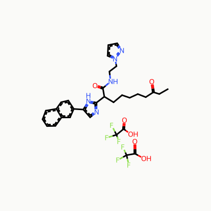 CCC(=O)CCCCCC(C(=O)NCCn1cccn1)c1ncc(-c2ccc3ccccc3c2)[nH]1.O=C(O)C(F)(F)F.O=C(O)C(F)(F)F